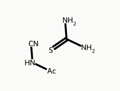 CC(=O)NC#N.NC(N)=S